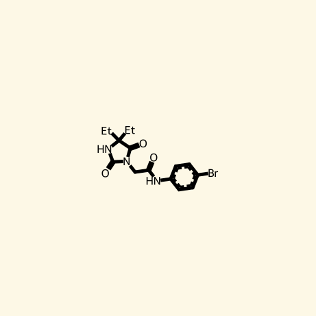 CCC1(CC)NC(=O)N(CC(=O)Nc2ccc(Br)cc2)C1=O